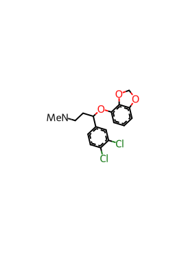 CNCCC(Oc1cccc2c1OCO2)c1ccc(Cl)c(Cl)c1